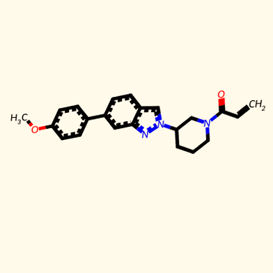 C=CC(=O)N1CCCC(n2cc3ccc(-c4ccc(OC)cc4)cc3n2)C1